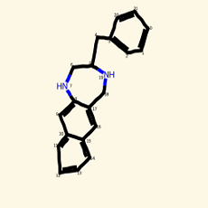 c1ccc(CC2CNc3cc4ccccc4cc3CN2)cc1